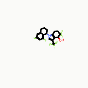 OC1c2c(C(F)(F)F)cn([C@@H]3CCCc4cc(F)cc(F)c43)c2CCC1(F)F